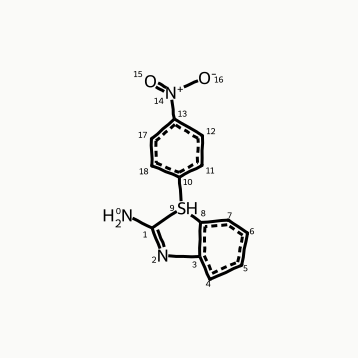 NC1=Nc2ccccc2[SH]1c1ccc([N+](=O)[O-])cc1